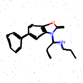 C=C1Oc2ccc(-c3ccccc3)cc2N1C(CC)NCCC